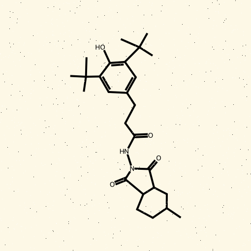 CC1CCC2C(=O)N(NC(=O)CCc3cc(C(C)(C)C)c(O)c(C(C)(C)C)c3)C(=O)C2C1